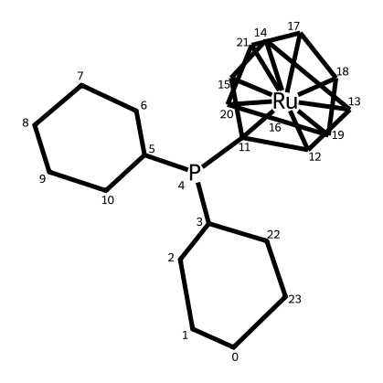 C1CCC(P(C2CCCCC2)[C]23[CH]4[CH]5[CH]6[CH]2[Ru]56432789[CH]3[CH]2[CH]7[CH]8[CH]39)CC1